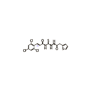 O=C(/C=C/c1c(Cl)cc(Cl)cc1Cl)NC(=S)NNC(=O)Cc1cccs1